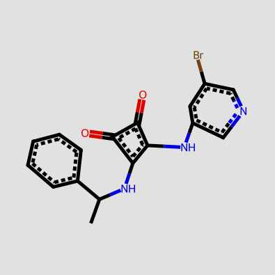 CC(Nc1c(Nc2cncc(Br)c2)c(=O)c1=O)c1ccccc1